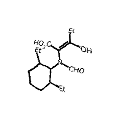 CCC(O)=C(C(=O)O)N(C=O)C1C(CC)CCCC1CC